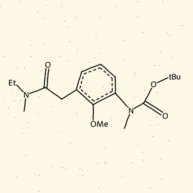 CCN(C)C(=O)Cc1cccc(N(C)C(=O)OC(C)(C)C)c1OC